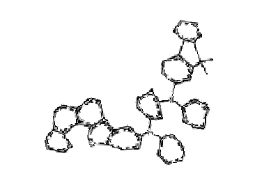 CC1(C)c2ccccc2-c2ccc(N(c3ccccc3)c3cccc(N(c4ccccc4)c4ccc5sc6c(ccc7ccc8ccccc8c76)c5c4)c3)cc21